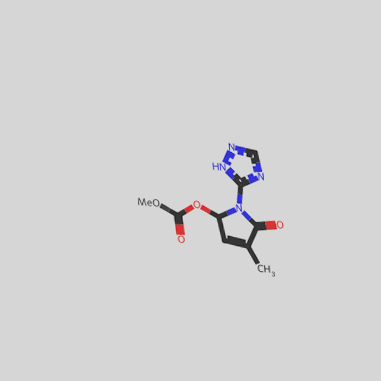 COC(=O)OC1C=C(C)C(=O)N1c1ncn[nH]1